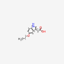 CCCOc1ccc2[nH]cc(CC(=O)O)c2c1